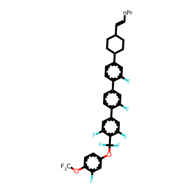 CCC/C=C/C1CCC(c2ccc(-c3ccc(-c4cc(F)c(C(F)(F)Oc5ccc(OC(F)(F)F)c(F)c5)c(F)c4)c(F)c3)c(F)c2)CC1